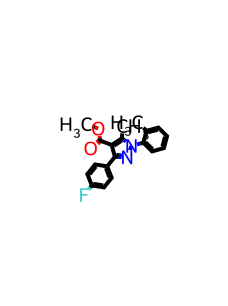 COC(=O)c1c(-c2ccc(F)cc2)nn(-c2ccccc2C)c1C